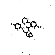 Cc1ccc(-c2ncccn2)c(C(=O)N2C(COc3ccc(F)cn3)CC3CC2C3)n1